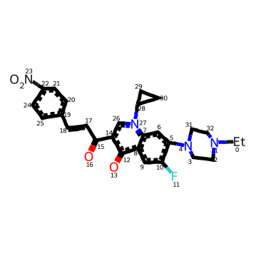 CCN1CCN(c2cc3c(cc2F)c(=O)c(C(=O)/C=C/c2ccc([N+](=O)[O-])cc2)cn3C2CC2)CC1